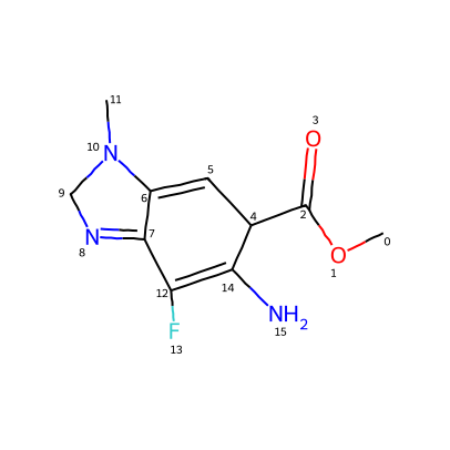 COC(=O)C1C=C2C(=NCN2C)C(F)=C1N